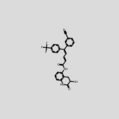 N#Cc1cccc(/C(=C/C=C/C(=O)Nc2cccc3c2CC(O)C(=O)N3)c2ccc(C(F)(F)F)cc2)c1